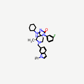 CC(C)n1ccc2ccc(CN3CC[C@]4(C[C@H]3C)C(NC3CCCCC3)=NC(=O)N4c3cccc(F)c3)cc21